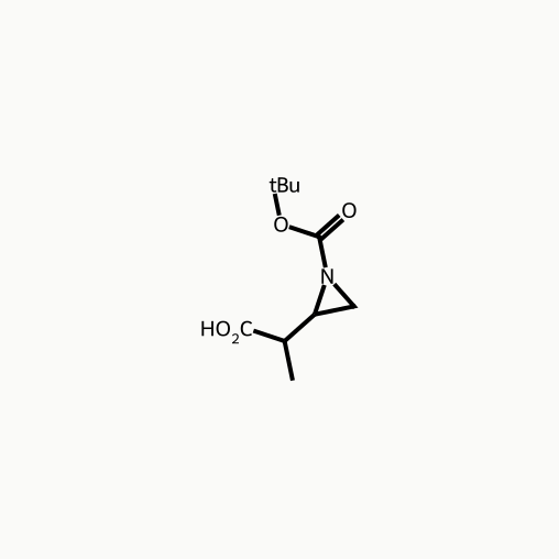 CC(C(=O)O)C1CN1C(=O)OC(C)(C)C